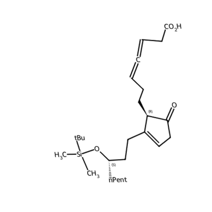 CCCCC[C@@H](CCC1=CCC(=O)[C@@H]1CCC=C=CCC(=O)O)O[Si](C)(C)C(C)(C)C